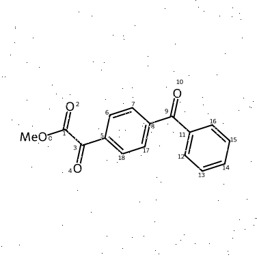 COC(=O)C(=O)c1ccc(C(=O)c2ccccc2)cc1